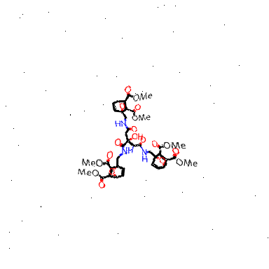 COC(=O)C1=C(C(=O)OC)C2(CNC(=O)CC(O)(CC(=O)NCC34C=CC(O3)C(C(=O)OC)=C4C(=O)OC)C(=O)NCC34C=CC(O3)C(C(=O)OC)=C4C(=O)OC)C=CC1O2